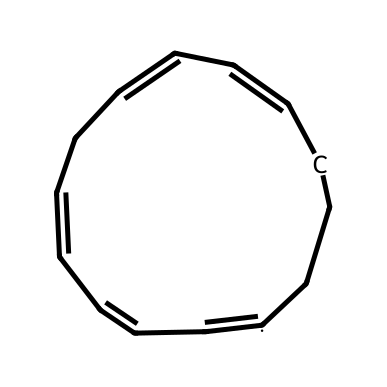 [C]1=CC=CC=CCC=CC=CCCC1